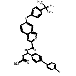 CC(C)(C)c1ccc(Oc2ccc3cc(C(=O)NC(CC(=O)O)c4ccc(-c5ccc(F)cc5)cc4)ncc3c2)cc1